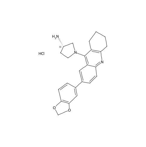 Cl.N[C@H]1CCN(c2c3c(nc4ccc(-c5ccc6c(c5)OCO6)cc24)CCCC3)C1